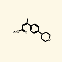 COC(=O)/C=C(/C)c1ccc(N2CCOCC2)cc1